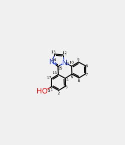 Oc1ccc2c3ccccc3n3ccnc3c2c1